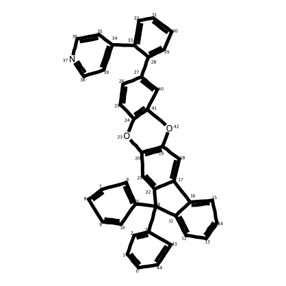 c1ccc(C2(c3ccccc3)c3ccccc3-c3cc4c(cc32)Oc2ccc(-c3ccccc3-c3ccncc3)cc2O4)cc1